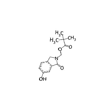 CC(C)(C)C(=O)OCN1Cc2ccc(O)cc2C1=O